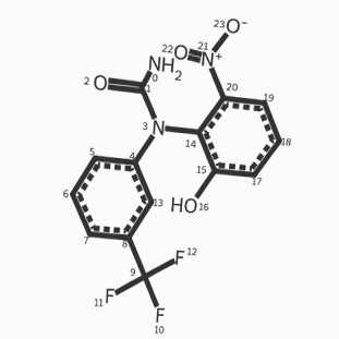 NC(=O)N(c1cccc(C(F)(F)F)c1)c1c(O)cccc1[N+](=O)[O-]